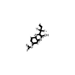 C=CC(F)(F)c1nc2ccc(OC(F)F)cc2nc1O